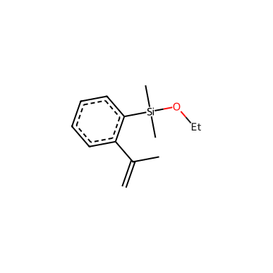 C=C(C)c1ccccc1[Si](C)(C)OCC